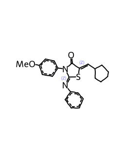 COc1ccc(N2C(=O)/C(=C/C3CCCCC3)S/C2=N\c2ccccc2)cc1